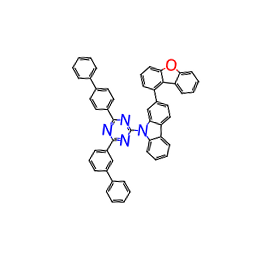 c1ccc(-c2ccc(-c3nc(-c4cccc(-c5ccccc5)c4)nc(-n4c5ccccc5c5ccc(-c6cccc7oc8ccccc8c67)cc54)n3)cc2)cc1